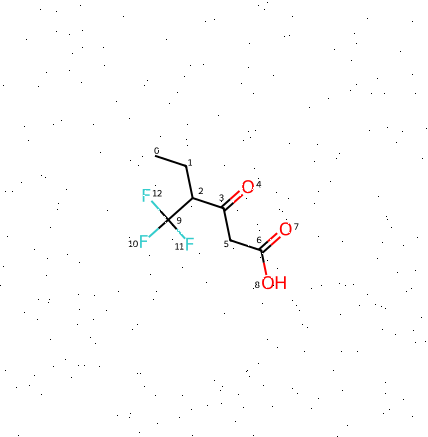 CCC(C(=O)CC(=O)O)C(F)(F)F